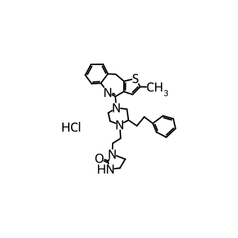 Cc1cc2c(s1)Cc1ccccc1N=C2N1CCN(CCN2CCNC2=O)C(CCc2ccccc2)C1.Cl